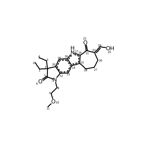 CCC1(CC)C(=O)N(CCOC)c2cc3c4c([nH]c3cc21)C(=O)/C(=C/O)CCC4